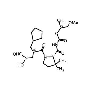 COC[C@H](C)OC(=O)NC(=O)[C@H]1N(C(=O)[C@H](CC2CCCC2)CN(O)C=O)CCC1(C)C